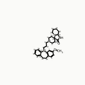 COc1ccc2c(c1)N(CCCN1CCC3(CC1)C(=O)NC1CCCCN13)c1ccccc1CC2